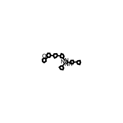 c1ccc(-c2ccc(C3=NC(c4cccc(-c5ccc(-c6ccc7oc8ccccc8c7c6)cc5)c4)=NC(c4ccccc4)N3)cc2)cc1